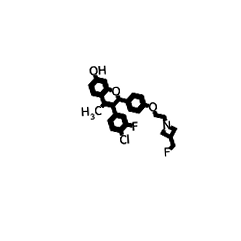 CC1=C(c2ccc(Cl)c(F)c2)C(c2ccc(OCCN3CC(CF)C3)cc2)Oc2cc(O)ccc21